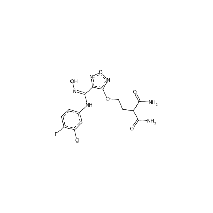 NC(=O)C(CCOc1nonc1/C(=N\O)Nc1ccc(F)c(Cl)c1)C(N)=O